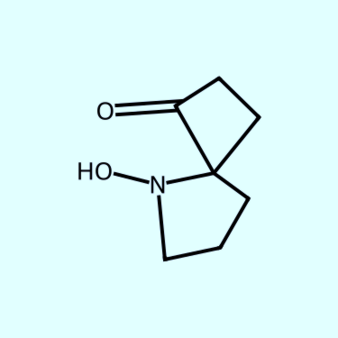 O=C1CCC12CCCN2O